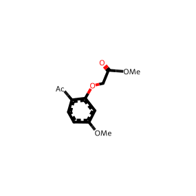 COC(=O)COc1cc(OC)ccc1C(C)=O